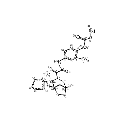 Cc1cc(NC(=O)C(=O)C2C[C@@H]3CC[C@@H](C3)[C@@]2(C)c2ccccc2)cnc1NC(=O)OC(C)(C)C